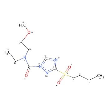 CCCCS(=O)(=O)c1ncn(C(=O)N(CC)CCOC)n1